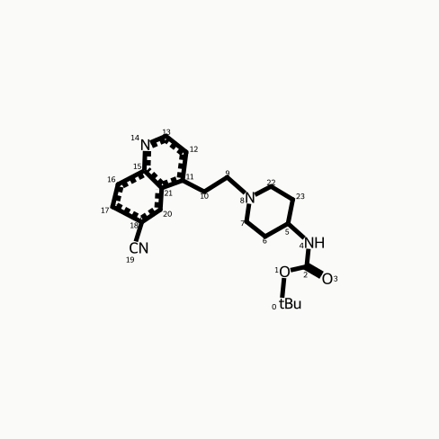 CC(C)(C)OC(=O)NC1CCN(CCc2ccnc3ccc(C#N)cc23)CC1